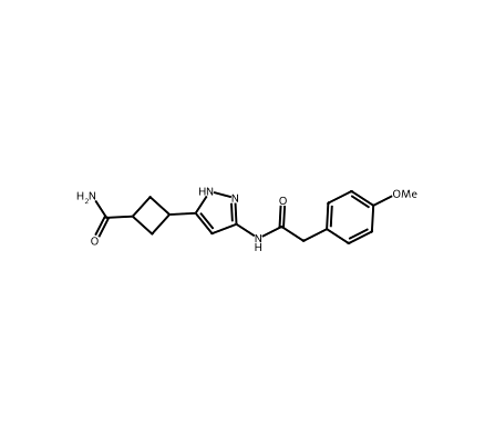 COc1ccc(CC(=O)Nc2cc(C3CC(C(N)=O)C3)[nH]n2)cc1